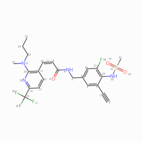 C#Cc1cc(CNC(=O)/C=C\c2ccc(C(F)(F)F)nc2N(C)CCC)cc(F)c1NS(C)(=O)=O